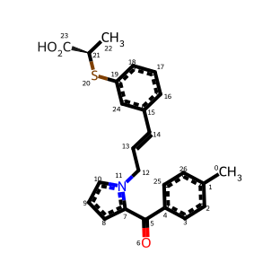 Cc1ccc(C(=O)c2cccn2C/C=C/c2cccc(S[C@H](C)C(=O)O)c2)cc1